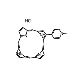 CN1C=CC(c2cc3cc4nc(cc5ccc(cc6nc(cc2[nH]3)C=C6)[nH]5)C=C4)=CC1.Cl